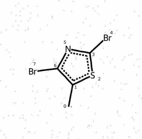 [CH2]c1sc(Br)nc1Br